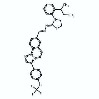 CCC(C)c1ccccc1N1CCSC1=NN=Cc1ccc2c(ccn3c(-c4ccc(OC(F)(F)F)cc4)cnc23)c1